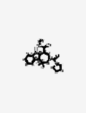 CC(C)OC(=O)C1=CN(C(=O)N2CCCC2)CC(C)(C)c2c1[nH]c1ccccc21